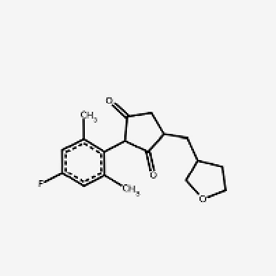 Cc1cc(F)cc(C)c1C1C(=O)CC(CC2CCOC2)C1=O